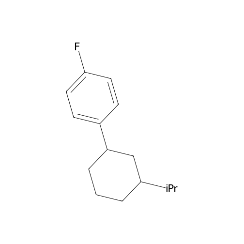 CC(C)C1CCCC(c2ccc(F)cc2)C1